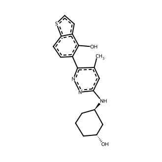 Cc1cc(N[C@@H]2CCC[C@@H](O)C2)nnc1-c1ccc2sccc2c1O